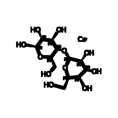 OC[C@H]1O[C@@H](O[C@H]2[C@H](O)[C@@H](O)[C@H](O)O[C@@H]2CO)[C@H](O)[C@@H](O)[C@H]1O.[Ca]